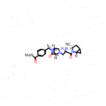 CNC(=O)c1ccc([C@@H](C)N2C(=O)[C@@H]3C[C@H]2CN3C[C@H](N)C(=O)N2[C@H](C#N)CC3C[C@@H]32)cc1